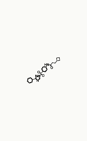 O=C(CCC1CCC1)Nc1ccc(S(=O)(=O)n2cnc(-c3ccccc3)n2)cc1